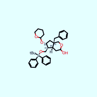 CC(C)(C)[Si](OC[C@@H]1[C@H]2CC(O)OC[C@@]2(Cc2ccccc2)C[C@H]1OC1CCCCO1)(c1ccccc1)c1ccccc1